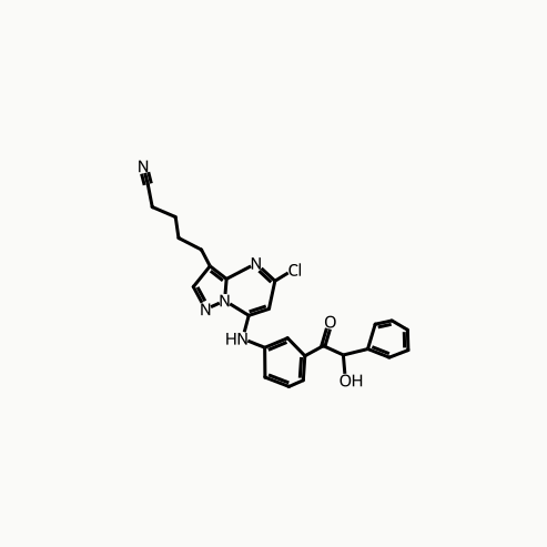 N#CCCCCc1cnn2c(Nc3cccc(C(=O)C(O)c4ccccc4)c3)cc(Cl)nc12